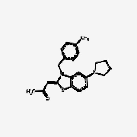 CC(=O)/C=C1\Sc2ccc(N3CCCC3)cc2N1Cc1ccc(C)cc1